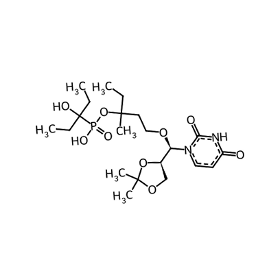 CCC(C)(CCO[C@H]([C@H]1COC(C)(C)O1)n1ccc(=O)[nH]c1=O)OP(=O)(O)C(O)(CC)CC